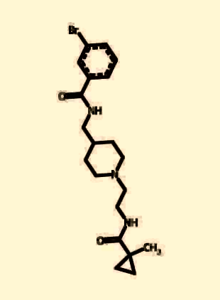 CC1(C(=O)NCCN2CCC(CNC(=O)c3cccc(Br)c3)CC2)CC1